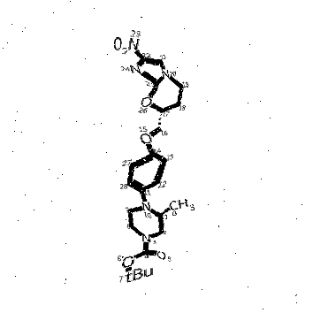 C[C@H]1CN(C(=O)OC(C)(C)C)CCN1c1ccc(OC[C@H]2CCn3cc([N+](=O)[O-])nc3O2)cc1